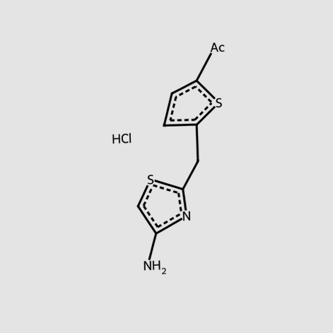 CC(=O)c1ccc(Cc2nc(N)cs2)s1.Cl